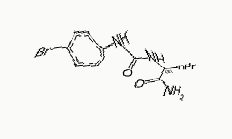 CCC[C@H](NC(=O)Nc1ccc(Br)cc1)C(N)=O